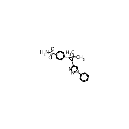 CC1(C)[C@@H](c2ccc(S(N)(=O)=O)cc2)[C@@H]1c1cn(-c2ccccc2)nn1